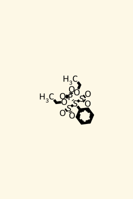 CCOS(=O)(=O)S(c1ccccc1)(P(=O)=O)S(=O)(=O)OCC